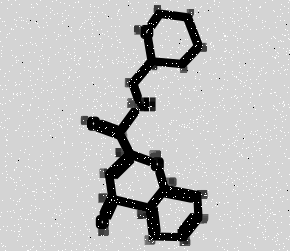 O=C(NCC1CCCCO1)c1cc(=O)c2ccccc2o1